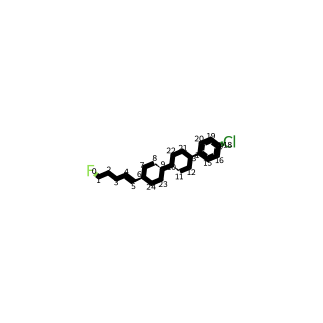 FCCCC=C[C@H]1CC[C@H]([C@H]2CC[C@H](c3ccc(Cl)cc3)CC2)CC1